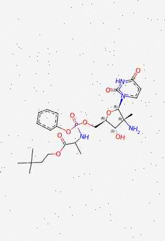 CC(NP(=O)(OC[C@H]1O[C@@H](n2ccc(=O)[nH]c2=O)[C@](C)(N)[C@@H]1O)Oc1ccccc1)C(=O)OCCC(C)(C)C